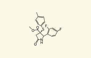 COC(=O)[C@@]1(Sc2ccc(C)cc2)CC(=O)NC1c1ccc(F)cc1F